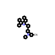 N#Cc1ccc2c(c1)c1cc(-c3cccc(-c4nc5c6ccccc6c6ccccc6c5c5c4ccc4ccccc45)c3)ccc1n2-c1ccccc1